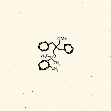 COCC(CO[Si](C)(C)c1ccccc1C)(Cc1ccccc1)Cc1ccccc1